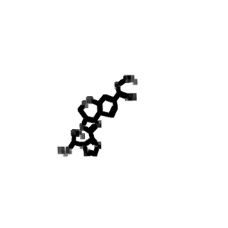 CSC(=N)c1ccc2c(c1)OCCc1sc(-c3ncnn3C(C)C)nc1-2